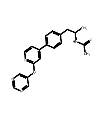 CC(=O)NC(C)Cc1ccc(-c2ccnc(Oc3cncnc3)c2)cc1